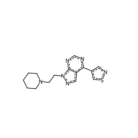 c1nc(-c2cnsc2)c2cnn(CCN3CCCCC3)c2n1